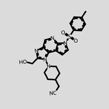 Cc1ccc(S(=O)(=O)n2ccc3c2ncc2nc(CO)n(N4CCC(CC#N)CC4)c23)cc1